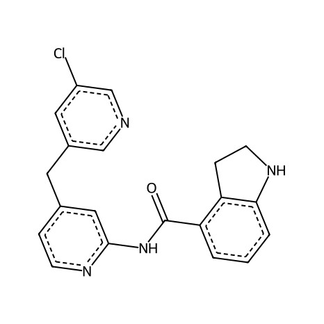 O=C(Nc1cc(Cc2cncc(Cl)c2)ccn1)c1cccc2c1CCN2